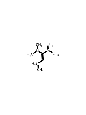 C[SiH2]C=C(N(C)C)N(C)C